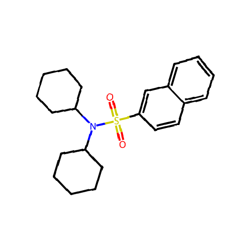 O=S(=O)(c1ccc2ccccc2c1)N(C1CCCCC1)C1CCCCC1